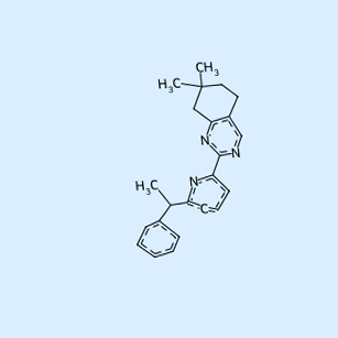 CC(c1ccccc1)c1cccc(-c2ncc3c(n2)CC(C)(C)CC3)n1